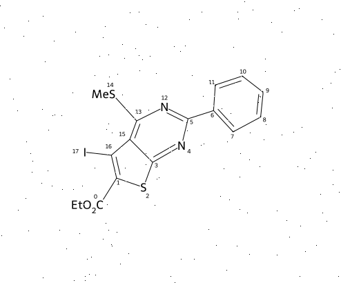 CCOC(=O)c1sc2nc(-c3ccccc3)nc(SC)c2c1I